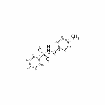 Cc1ccc(ONS(=O)(=O)c2ccccc2)cc1